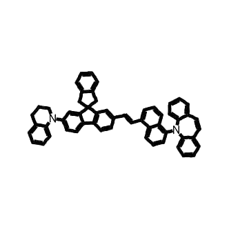 C1=Cc2ccccc2N(c2cccc3c(/C=C/c4ccc5c(c4)C4(Cc6ccccc6C4)c4cc(N6CCCc7ccccc76)ccc4-5)cccc23)c2ccccc21